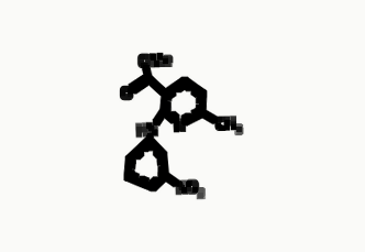 COC(=O)c1ccc(C)nc1Nc1cccc([N+](=O)[O-])c1